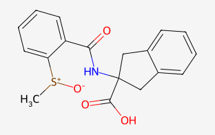 C[S+]([O-])c1ccccc1C(=O)NC1(C(=O)O)Cc2ccccc2C1